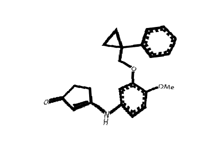 COc1ccc(NC2=CC(=O)CC2)cc1OCC1(c2ccccc2)CC1